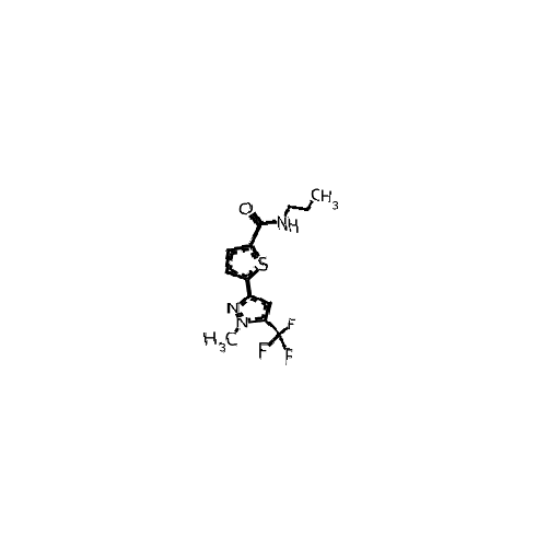 CCCNC(=O)c1ccc(-c2cc(C(F)(F)F)n(C)n2)s1